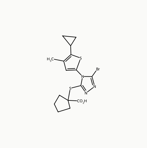 Cc1cc(-n2c(Br)nnc2SC2(C(=O)O)CCCC2)sc1C1CC1